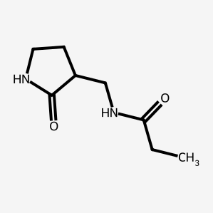 CCC(=O)NCC1CCNC1=O